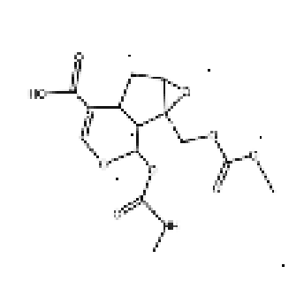 CNC(=O)OC1OC=C(C(=O)O)C2CC3OC3(COC(=O)OC)C12